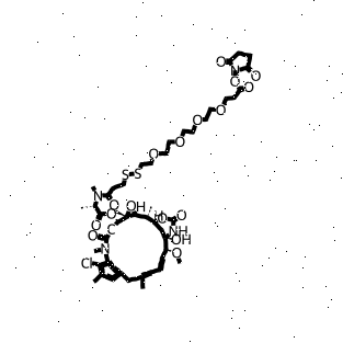 CO[C@@H]1/C=C/C=C(\C)Cc2cc(C)c(Cl)c(c2)N(C)C(=O)C[C@H](OC(=O)[C@H](C)N(C)C(=O)CCSSCCOCCOCCOCCOCCC(=O)ON2C(=O)CCC2=O)[C@]2(C)O[C@H]2[C@H](C)[C@@H]2C[C@@]1(O)NC(=O)O2